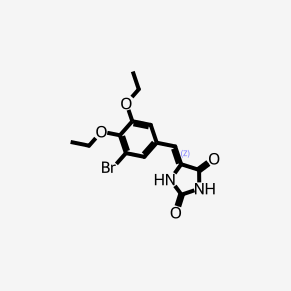 CCOc1cc(/C=C2\NC(=O)NC2=O)cc(Br)c1OCC